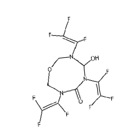 O=C1N(C(F)=C(F)F)COCN(C(F)=C(F)F)C(O)N1C(F)=C(F)F